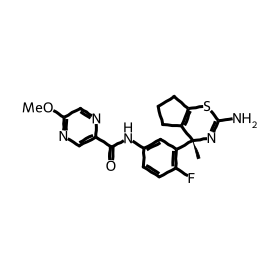 COc1cnc(C(=O)Nc2ccc(F)c([C@@]3(C)N=C(N)SC4=C3CCC4)c2)cn1